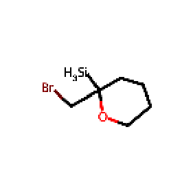 [SiH3]C1(CBr)CCCCO1